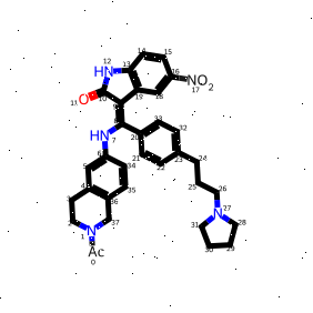 CC(=O)N1CCc2cc(NC(=C3C(=O)Nc4ccc([N+](=O)[O-])cc43)c3ccc(CCCN4CCCC4)cc3)ccc2C1